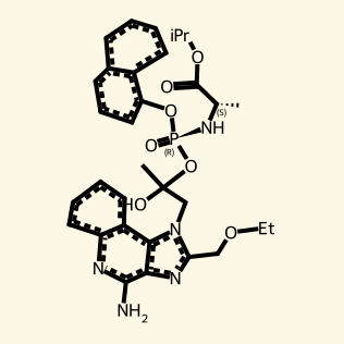 CCOCc1nc2c(N)nc3ccccc3c2n1CC(C)(O)O[P@@](=O)(N[C@@H](C)C(=O)OC(C)C)Oc1cccc2ccccc12